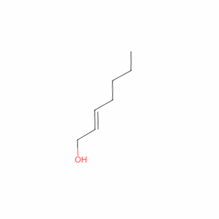 CCCCC=CCO